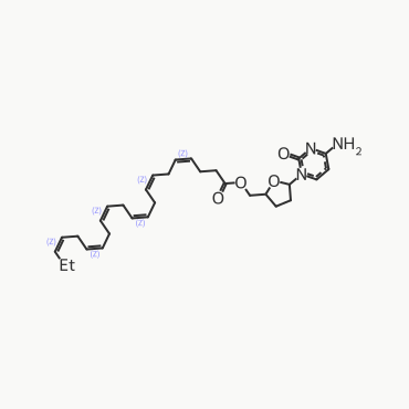 CC/C=C\C/C=C\C/C=C\C/C=C\C/C=C\C/C=C\CCC(=O)OCC1CCC(n2ccc(N)nc2=O)O1